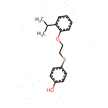 CC(C)c1ccccc1OCCSc1ccc(O)cc1